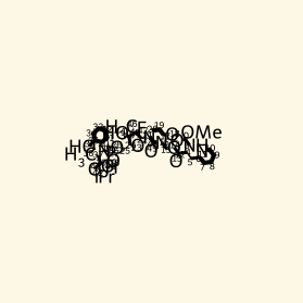 COC(=O)N[C@@H](Cc1ccccn1)C(=O)OCn1c(=O)ccn([C@@H]2O[C@H](CO[PH](=O)N(c3ccccc3O)[C@@H](C)C(=O)OC(C)C)[C@@H](O)[C@@]2(C)F)c1=O